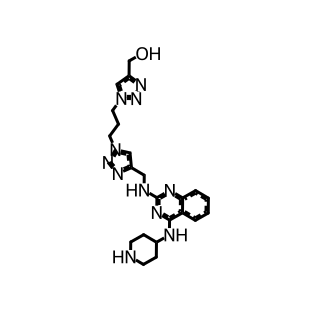 OCc1cn(CCCn2cc(CNc3nc(NC4CCNCC4)c4ccccc4n3)nn2)nn1